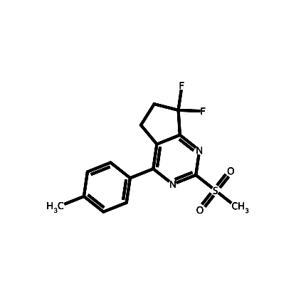 Cc1ccc(-c2nc(S(C)(=O)=O)nc3c2CCC3(F)F)cc1